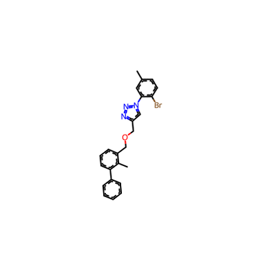 Cc1ccc(Br)c(-n2cc(COCc3cccc(-c4ccccc4)c3C)nn2)c1